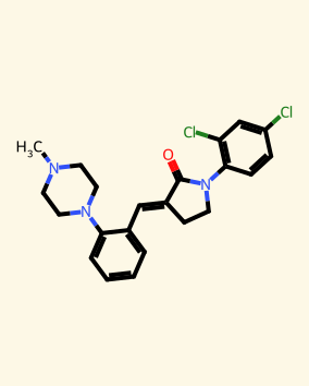 CN1CCN(c2ccccc2/C=C2\CCN(c3ccc(Cl)cc3Cl)C2=O)CC1